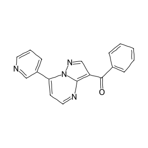 O=C(c1ccccc1)c1cnn2c(-c3cccnc3)ccnc12